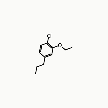 CCCc1ccc(Cl)c(OCC)c1